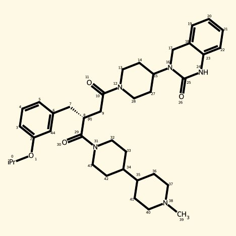 CC(C)Oc1cccc(C[C@H](CC(=O)N2CCC(N3Cc4ccccc4NC3=O)CC2)C(=O)N2CCC(C3CCN(C)CC3)CC2)c1